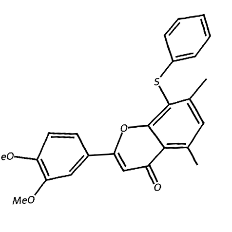 COc1ccc(-c2cc(=O)c3c(C)cc(C)c(Sc4ccccc4)c3o2)cc1OC